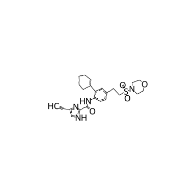 C#Cc1c[nH]c(C(=O)Nc2ccc(CCS(=O)(=O)N3CCOCC3)cc2C2=CCCCC2)n1